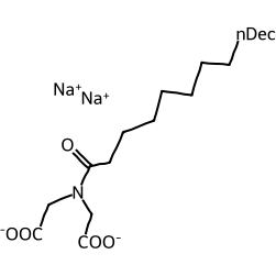 CCCCCCCCCCCCCCCCCC(=O)N(CC(=O)[O-])CC(=O)[O-].[Na+].[Na+]